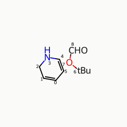 C1=CCNC=C1.CC(C)(C)OC=O